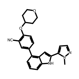 Cn1nccc1-c1cc2c(-c3ccc(OC4CCOCC4)c(C#N)c3)cccc2[nH]1